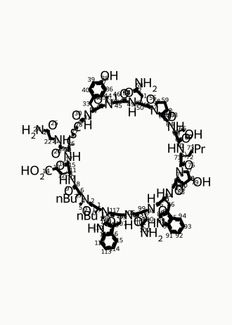 CCCC[C@H]1C(=O)N(C)[C@@H](CCCC)C(=O)N[C@@H](CCC(=O)O)C(=O)N[C@H](C(=O)NCC(N)=O)CSCC(=O)N[C@@H](Cc2ccc(O)cc2)C(=O)N(C)[C@@H](C)C(=O)N[C@@H](CC(N)=O)C(=O)N2CCC[C@H]2C(=O)N[C@@H](CO)C(=O)N[C@@H](CC(C)C)C(=O)N2C[C@H](O)C[C@H]2C(=O)N[C@@H](Cc2c[nH]c3ccccc23)C(=O)N[C@@H](CCN)C(=O)N[C@@H](Cc2c[nH]c3ccccc23)C(=O)N1C